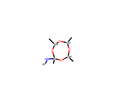 CC(C)N[Si]1(C)O[SiH](C)O[SiH](C)O[SiH](C)O1